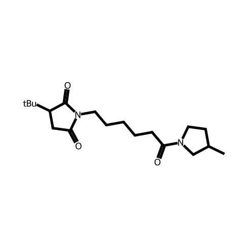 CC1CCN(C(=O)CCCCCN2C(=O)CC(C(C)(C)C)C2=O)C1